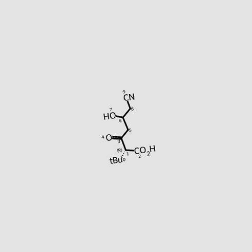 CC(C)(C)[C@@H](C(=O)O)C(=O)CC(O)CC#N